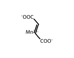 O=C([O-])C=CC(=O)[O-].[Mn+2]